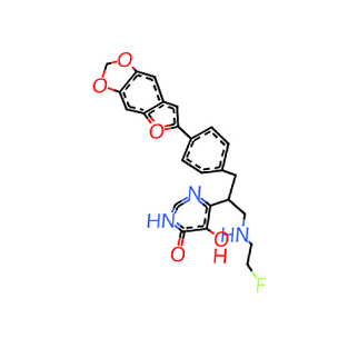 O=c1[nH]cnc(C(CNCCF)Cc2ccc(-c3cc4cc5c(cc4o3)OCO5)cc2)c1O